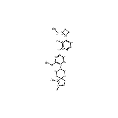 C[C@@H]1OCC2(CCN(c3ncc(Sc4ccnc(N5CC[C@H]5CO)c4Cl)nc3CO)CC2)[C@@H]1N